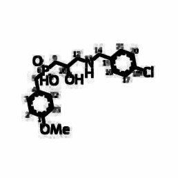 COc1ccc(CP(=O)(O)C[C@H](O)CNCc2ccc(Cl)cc2)cc1